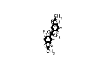 Cc1nc2cc(C(c3ccc4oc(C)nc4c3)(C(F)(F)F)C(F)(F)F)ccc2o1